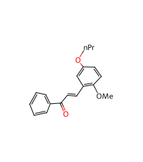 CCCOc1ccc(OC)c(C=CC(=O)c2ccccc2)c1